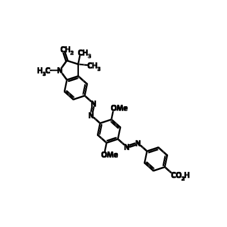 C=C1N(C)c2ccc(N=Nc3cc(OC)c(N=Nc4ccc(C(=O)O)cc4)cc3OC)cc2C1(C)C